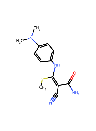 CS/C(Nc1ccc(N(C)C)cc1)=C(\C#N)C(N)=O